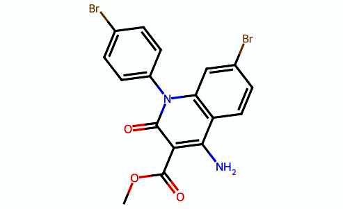 COC(=O)c1c(N)c2ccc(Br)cc2n(-c2ccc(Br)cc2)c1=O